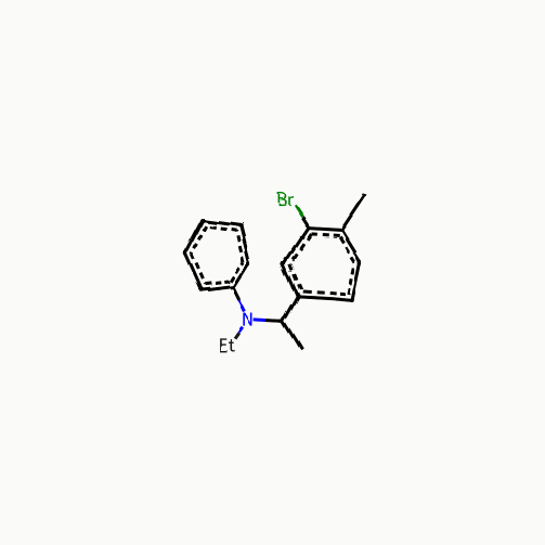 CCN(c1ccccc1)C(C)c1ccc(C)c(Br)c1